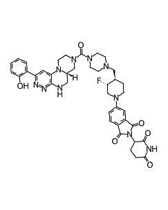 O=C1CCC(N2C(=O)c3ccc(N4CC[C@H](CN5CCN(C(=O)N6CCN7c8cc(-c9ccccc9O)nnc8NC[C@H]7C6)CC5)[C@@H](F)C4)cc3C2=O)C(=O)N1